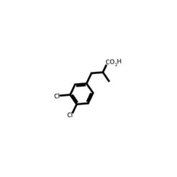 CC(Cc1ccc(Cl)c(Cl)c1)C(=O)O